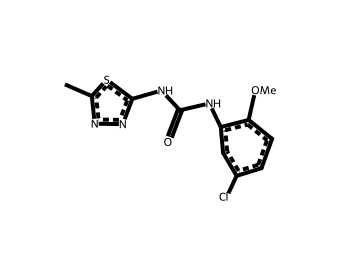 COc1ccc(Cl)cc1NC(=O)Nc1nnc(C)s1